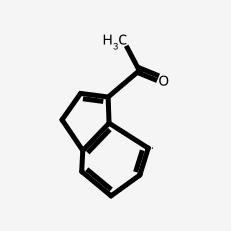 CC(=O)C1=CCc2ccc[c]c21